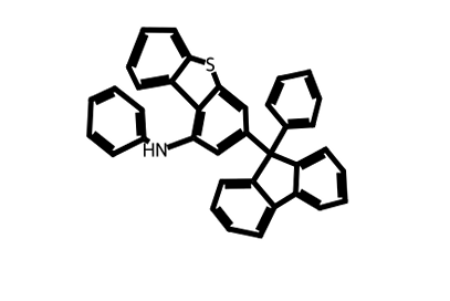 c1ccc(Nc2cc(C3(c4ccccc4)c4ccccc4-c4ccccc43)cc3sc4ccccc4c23)cc1